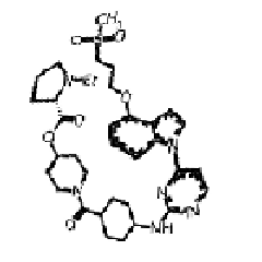 CCN1CCC[C@H]1C(=O)OC1CCN(C(=O)C2CCC(Nc3nccc(-n4ccc5c(OCCCS(C)(=O)=O)cccc54)n3)CC2)CC1